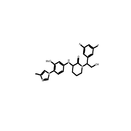 COc1cc(NC2CCCN(C(CO)c3cc(F)cc(F)c3)C2=O)ccc1-n1cnc(C)c1